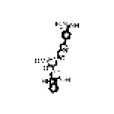 COC(=O)C(CNC(=O)CC1CC(c2ccc(C(=N)N)cc2)=NO1)NCc1[nH]c2ccccc2c1CO